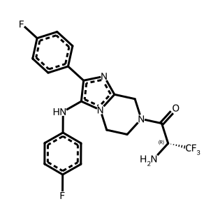 N[C@H](C(=O)N1CCn2c(nc(-c3ccc(F)cc3)c2Nc2ccc(F)cc2)C1)C(F)(F)F